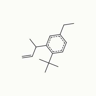 C=C[C](C)c1cc(CC)ccc1C(C)(C)C